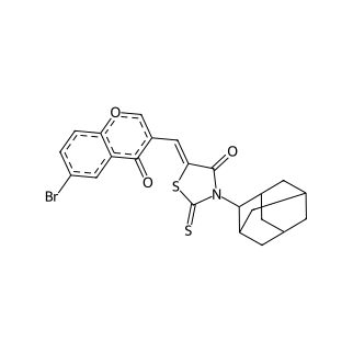 O=C1C(=Cc2coc3ccc(Br)cc3c2=O)SC(=S)N1C1C2CC3CC(C2)CC1C3